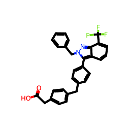 O=C(O)Cc1ccc(Cc2ccc(-c3c4cccc(C(F)(F)F)c4nn3Cc3ccccc3)cc2)cc1